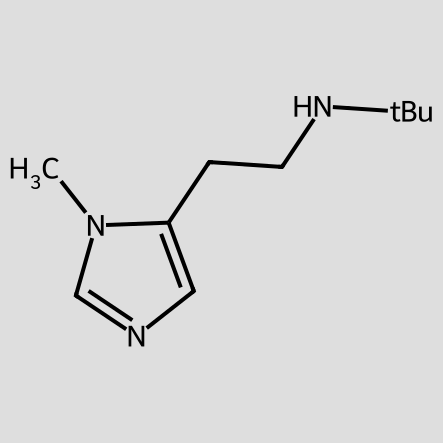 Cn1cncc1CCNC(C)(C)C